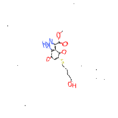 COC(=O)c1n[nH]c2c1C(=O)C(SCCCCO)=CC2=O